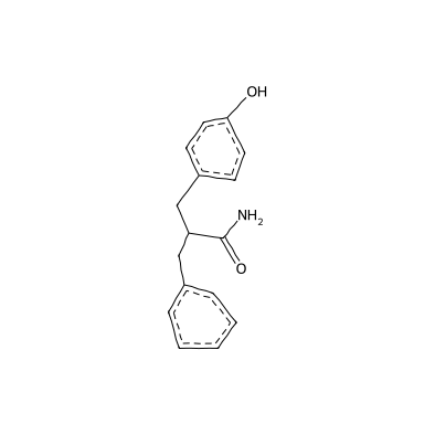 NC(=O)C(Cc1ccccc1)Cc1ccc(O)cc1